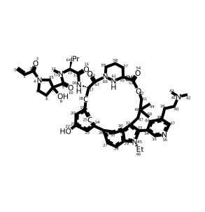 C=CC(=O)N1CCC(O)(C(=O)N(C)[C@H](C(=O)N[C@H]2Cc3cc(O)cc(c3)-c3ccc4c(c3)c(c(-c3cncc(CCN(C)C)c3)n4CC)CC(C)(C)COC(=O)[C@@]3(O)CCCN(N3)C2=O)C(C)C)C1